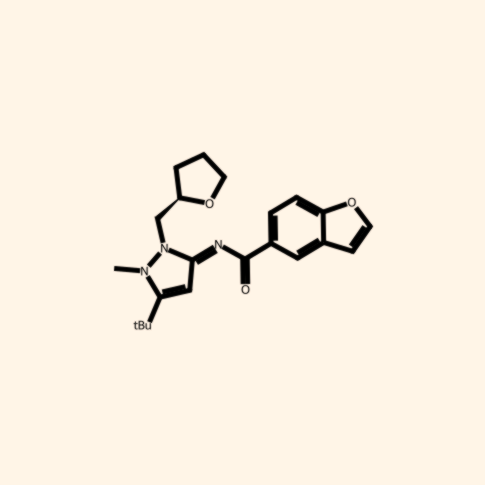 Cn1c(C(C)(C)C)c/c(=N\C(=O)c2ccc3occc3c2)n1C[C@H]1CCCO1